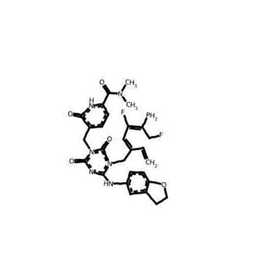 C=C/C(=C\C(F)=C(\P)CF)Cn1c(Nc2ccc3c(c2)CCO3)nc(=O)n(Cc2ccc(C(=O)N(C)C)[nH]c2=O)c1=O